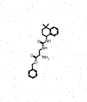 CC1(C)CCC(NC(=O)NC[C@H](N)C(=O)OCc2ccccc2)c2ccccc21